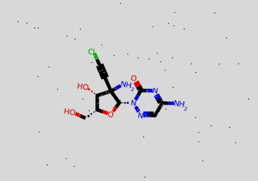 Nc1cnn([C@@H]2O[C@H](CO)[C@H](O)C2(N)C#CCl)c(=O)n1